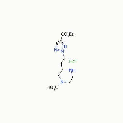 CCOC(=O)c1cnn(CC[C@@H]2CN(C(=O)O)CCN2)n1.Cl